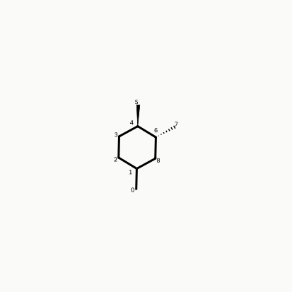 CC1CC[C@@H](C)[C@H](C)C1